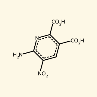 Nc1nc(C(=O)O)c(C(=O)O)cc1[N+](=O)[O-]